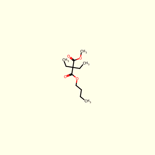 CCCCOC(=O)C(CC)(CC)C(=O)OC